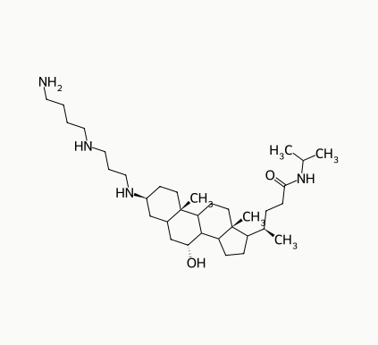 CC(C)NC(=O)CC[C@@H](C)C1CCC2C3C(CC[C@@]21C)[C@@]1(C)CC[C@H](NCCCNCCCCN)CC1C[C@H]3O